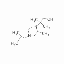 CC(C)CN1CCN(C(C)(C)CO)C(C)C1